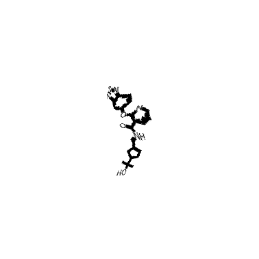 CC(C)(O)C1CC=C(CNC(=O)c2cccnc2Oc2ccc3nsnc3c2)C1